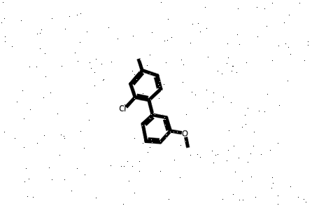 COc1cccc(-c2ccc(C)cc2Cl)c1